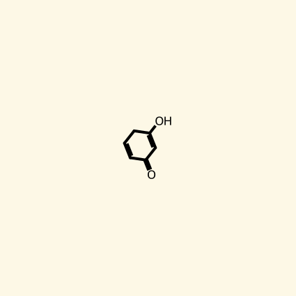 O=C1C=CCC(O)=C1